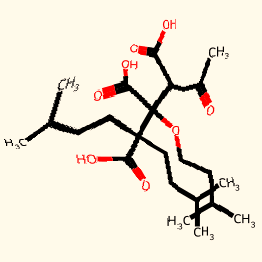 CC(=O)C(C(=O)O)C(OCCC(C)C)(C(=O)O)C(CCC(C)C)(CCC(C)C)C(=O)O